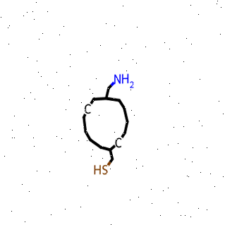 NCC1CCCCCCC(CS)CCCCC1